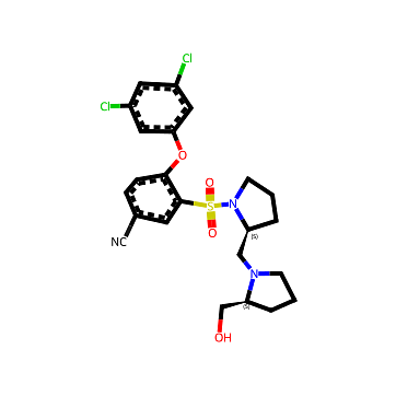 N#Cc1ccc(Oc2cc(Cl)cc(Cl)c2)c(S(=O)(=O)N2CCC[C@H]2CN2CCC[C@H]2CO)c1